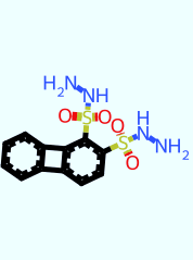 NNS(=O)(=O)c1ccc2c(c1S(=O)(=O)NN)-c1ccccc1-2